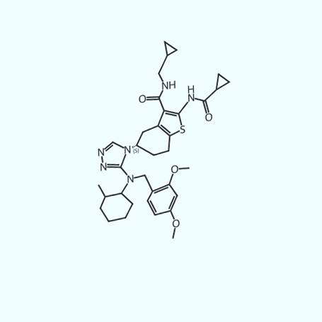 COc1ccc(CN(c2nncn2[C@H]2CCc3sc(NC(=O)C4CC4)c(C(=O)NCC4CC4)c3C2)C2CCCCC2C)c(OC)c1